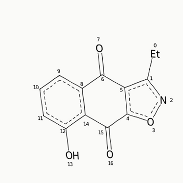 CCc1noc2c1C(=O)c1cccc(O)c1C2=O